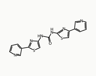 O=C(Nc1csc(-c2cccnc2)n1)Nc1nc(-c2cccnc2)cs1